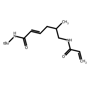 C=CC(=O)NCC(C)C/C=C/C(=O)NC(C)(C)C